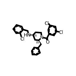 O=C(c1cc(Cl)cc(Cl)c1)N1CC[C@H](NCc2ccccc2Cl)C[C@@H]1Cc1ccccc1